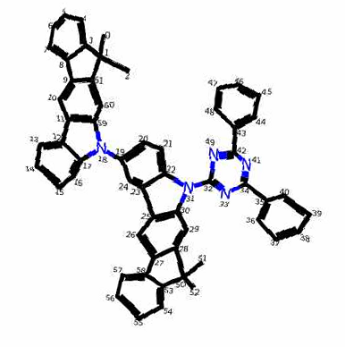 CC1(C)c2ccccc2-c2cc3c4ccccc4n(-c4ccc5c(c4)c4cc6c(cc4n5-c4nc(-c5ccccc5)nc(-c5ccccc5)n4)C(C)(C)c4ccccc4-6)c3cc21